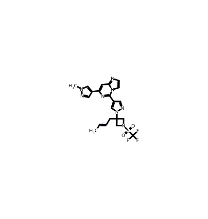 C/C=C/CC1(n2cc(-c3nc(-c4cnn(C)c4)cc4nccn34)cn2)CN(S(=O)(=O)C(F)(F)F)C1